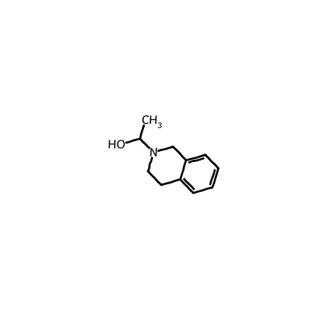 CC(O)N1CCc2ccccc2C1